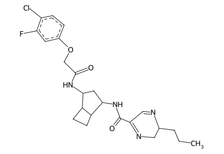 CCCC1CN=C(C(=O)NC2CC(NC(=O)COc3ccc(Cl)c(F)c3)C3CCC23)C=N1